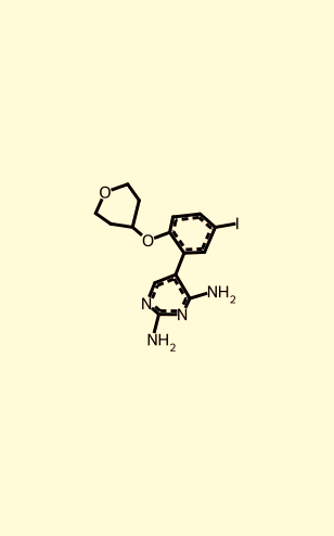 Nc1ncc(-c2cc(I)ccc2OC2CCOCC2)c(N)n1